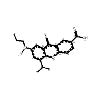 CCC[S+]([O-])c1cc(C(C)C)c2oc3ccc(C(=O)O)cc3c(=O)c2c1